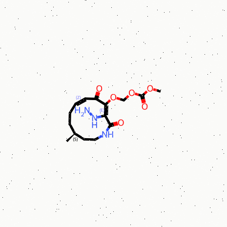 COC(=O)OCO/C1=C(/NN)C(=O)NCC[C@@H](C)CC/C=C\C1=O